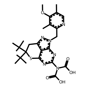 COc1c(C)cnc(Cn2nc3c4c(nc(N(C(=O)O)C(=O)O)nc42)SC(C(C)(C)C)(C(C)(C)C)C3)c1C